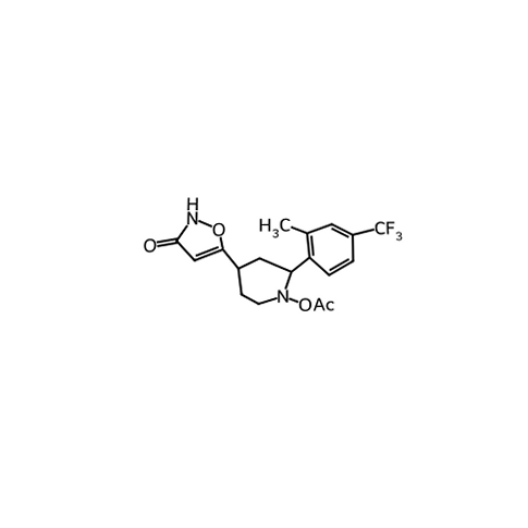 CC(=O)ON1CCC(c2cc(=O)[nH]o2)CC1c1ccc(C(F)(F)F)cc1C